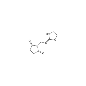 O=C1CCC(=O)N1CN=C1NCCS1